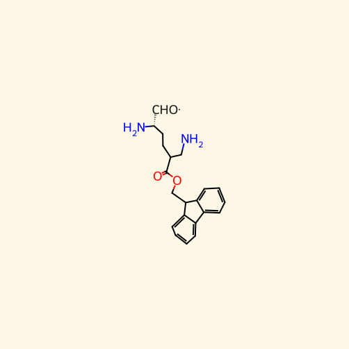 NCC(CC[C@H](N)[C]=O)C(=O)OCC1c2ccccc2-c2ccccc21